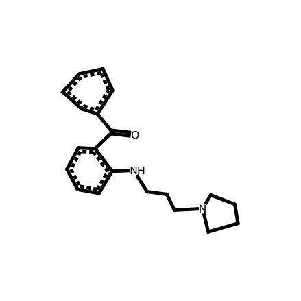 O=C(c1ccccc1)c1ccccc1NCCCN1CCCC1